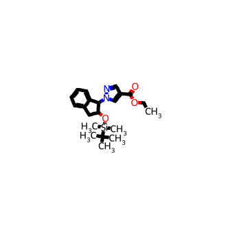 CCOC(=O)c1cnn(C2c3ccccc3CC2O[Si](C)(C)C(C)(C)C)c1